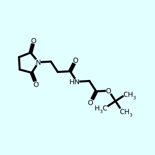 CC(C)(C)OC(=O)CNC(=O)CCN1C(=O)CCC1=O